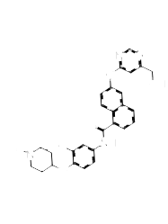 CN1CCC(Oc2ccc(NC(=O)c3cccc4cc(Oc5cc(CO)ncn5)ccc34)cc2C(F)(F)F)CC1